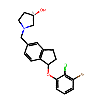 O[C@@H]1CCN(Cc2ccc3c(c2)CCC3Oc2cccc(Br)c2Cl)C1